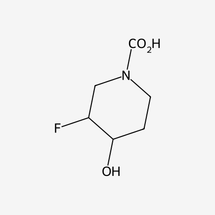 O=C(O)N1CCC(O)C(F)C1